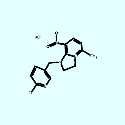 Cc1ccc([N+](=O)[O-])c2[n+]1CCN2Cc1ccc(Cl)nc1.Cl